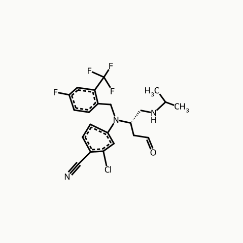 CC(C)NC[C@H](CC=O)N(Cc1ccc(F)cc1C(F)(F)F)c1ccc(C#N)c(Cl)c1